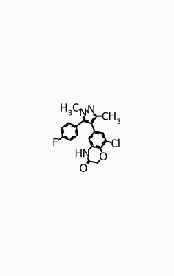 Cc1nn(C)c(-c2ccc(F)cc2)c1-c1cc(Cl)c2c(c1)NC(=O)CO2